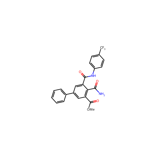 COC(=O)c1cc(-c2ccccc2)cc(C(=O)Nc2ccc(C(F)(F)F)cc2)c1C(N)=O